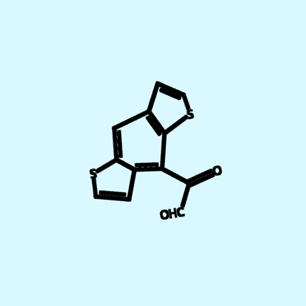 O=CC(=O)c1c2ccsc2cc2ccsc12